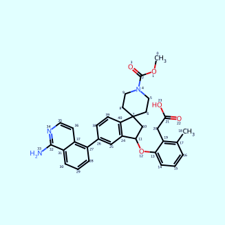 COC(=O)N1CCC2(CC1)CC(Oc1cccc(C)c1CC(=O)O)c1cc(-c3cccc4c(N)nccc34)ccc12